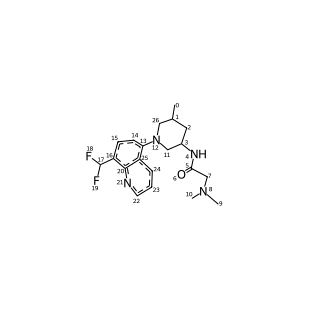 CC1CC(NC(=O)CN(C)C)CN(c2ccc(C(F)F)c3ncccc23)C1